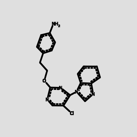 Nc1ccc(CCOc2ncc(Cl)c(-n3cnc4ccccc43)n2)cc1